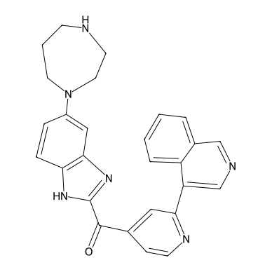 O=C(c1ccnc(-c2cncc3ccccc23)c1)c1nc2cc(N3CCCNCC3)ccc2[nH]1